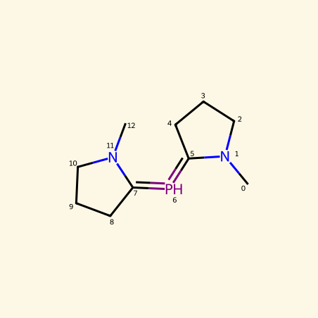 CN1CCCC1=[PH]=C1CCCN1C